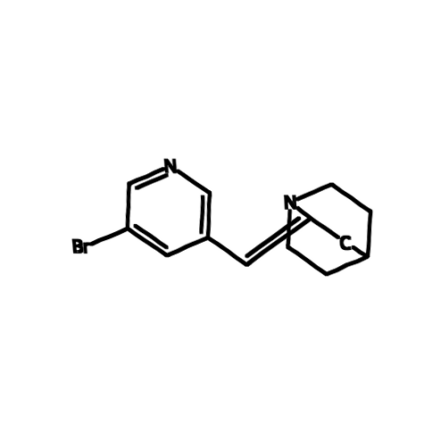 Brc1cncc(C=C2CC3CCN2CC3)c1